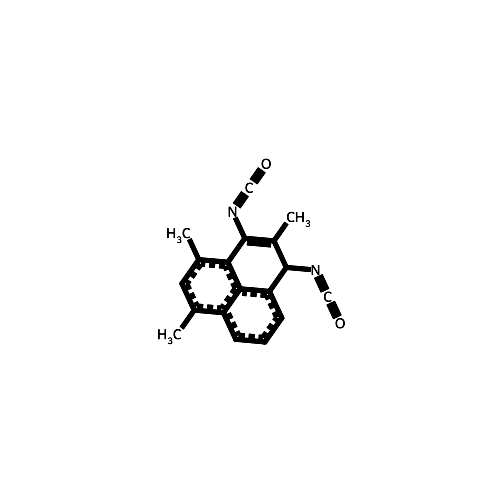 CC1=C(N=C=O)c2c(C)cc(C)c3cccc(c23)C1N=C=O